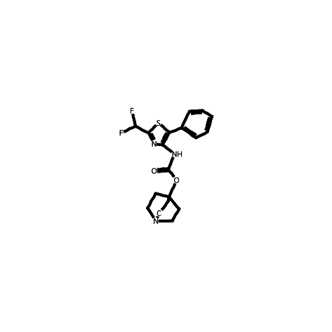 O=C(Nc1nc(C(F)F)sc1-c1ccccc1)OC12CCN(CC1)CC2